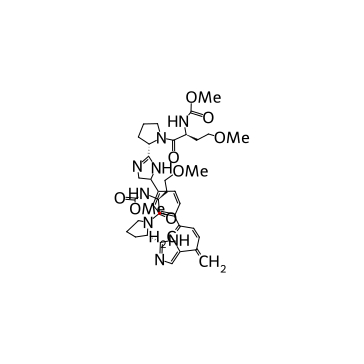 C=C(/C=C\C(=C)c1cnc([C@@H]2CCCN2C(=O)[C@H](CCOC)NC(=O)OC)[nH]1)c1ccc(C2CN=C([C@@H]3CCCN3C(=O)[C@H](CCOC)NC(=O)OC)N2)cc1